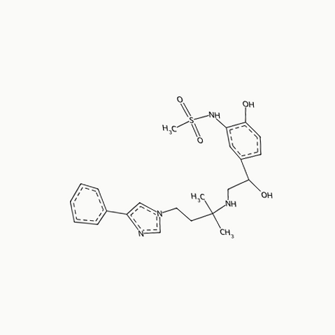 CC(C)(CCn1cnc(-c2ccccc2)c1)NCC(O)c1ccc(O)c(NS(C)(=O)=O)c1